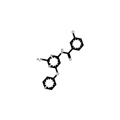 Nc1nc(NC(=O)c2cccc(Cl)c2)cc(Oc2ccncc2)n1